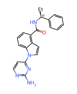 CC[C@H](NC(=O)c1cccc2c1ccn2-c1ccnc(N)n1)c1ccccc1